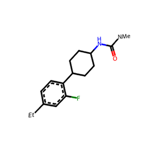 CCc1ccc(C2CCC(NC(=O)NC)CC2)c(F)c1